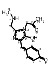 CNCc1nc(C=C2C=CC(=O)C=C2)c(O)n1CC(C)=O